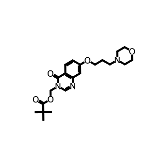 CC(C)(C)C(=O)OCn1cnc2cc(OCCCN3CCOCC3)ccc2c1=O